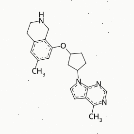 Cc1cc2c(c(OC3CCC(n4ccc5c(C)ncnc54)C3)c1)CNCC2